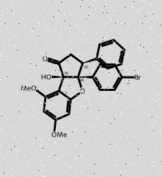 COc1cc(OC)c2c(c1)O[C@@]1(c3ccc(Br)cc3)[C@H](c3ccccc3)CC(=O)[C@@]21O